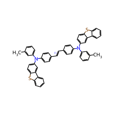 Cc1cccc(N(c2ccc(/C=C/c3ccc(N(c4cccc(C)c4)c4ccc5sc6ccccc6c5c4)cc3)cc2)c2ccc3sc4ccccc4c3c2)c1